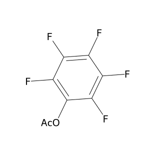 [CH2]C(=O)Oc1c(F)c(F)c(F)c(F)c1F